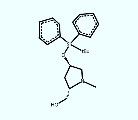 CN1C[C@H](O[Si](c2ccccc2)(c2ccccc2)C(C)(C)C)C[C@H]1CO